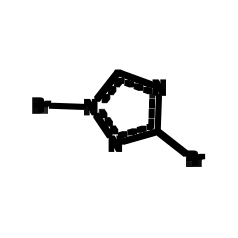 Brc1ncn(Br)n1